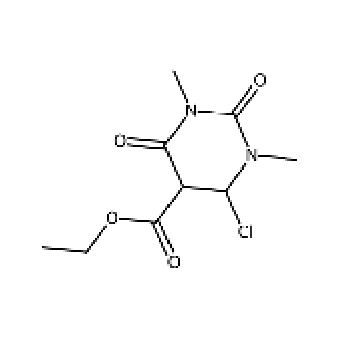 CCOC(=O)C1C(=O)N(C)C(=O)N(C)C1Cl